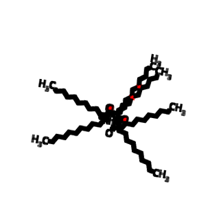 CCCCCCCCCC[C](=O)[Rh]([C](=O)CCCCCCCCCC)([C](=O)CCCCCCCCCC)([C](=O)CCCCCCCCCC)([C](=O)CCCCCCCCCC)[C](=O)CCCCCCCCCC